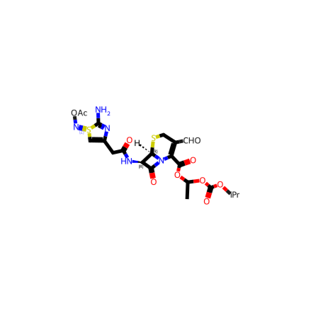 CC(=O)O/N=S1/C=C(CC(=O)N[C@@H]2C(=O)N3C(C(=O)OC(C)OC(=O)OC(C)C)=C(C=O)CS[C@H]23)N=C1N